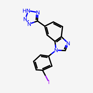 Ic1cccc(-n2cnc3ccc(-c4nn[nH]n4)cc32)c1